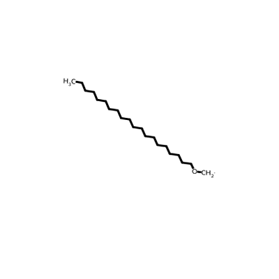 [CH2]OCCCCCCCCCCCCCCCCCCCC